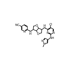 Cn1cc(Nc2ncc(Cl)c(NC3COC4C(Nc5ccc(C#N)cn5)COC34)n2)cn1